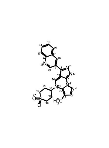 Cc1cnn2c3nnc(-c4cnc5ccccc5c4)c-3cn(C3CCS(=O)(=O)CC3)c12